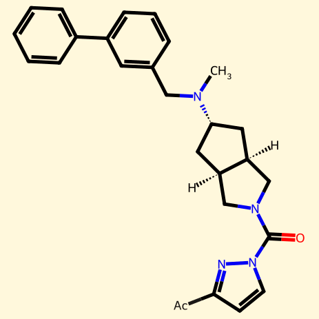 CC(=O)c1ccn(C(=O)N2C[C@H]3C[C@H](N(C)Cc4cccc(-c5ccccc5)c4)C[C@H]3C2)n1